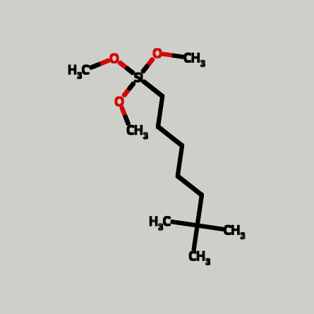 CO[Si](CCCCCC(C)(C)C)(OC)OC